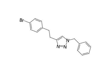 Brc1ccc(CCc2cn(Cc3ccccc3)nn2)cc1